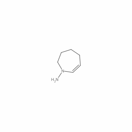 NN1C=CCCCC1